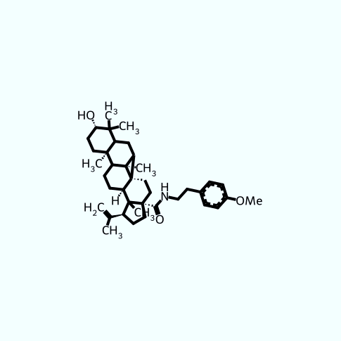 C=C(C)[C@@H]1CC[C@]2(C(=O)NCCc3ccc(OC)cc3)CC[C@]34C5CC6C(C)(C)[C@@H](O)CC[C@]6(C)C(CC[C@@H]3C12C)[C@@]54C